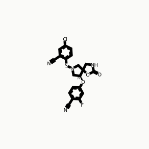 N#Cc1ccc(O[C@H]2CN(Sc3ccc(Cl)cc3C#N)CC23CNC(=O)O3)cc1F